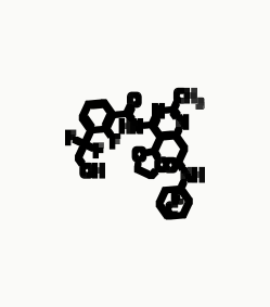 Cc1nc(CC(=O)NC23CCC(CC2)CC3)c(C2OCCO2)c(NC(=O)c2cccc(C(F)(F)CO)c2F)n1